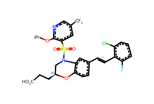 CC(C)Oc1ncc(C(F)(F)F)cc1S(=O)(=O)N1C[C@H](CCC(=O)O)Oc2ccc(/C=C/c3c(F)cccc3Cl)cc21